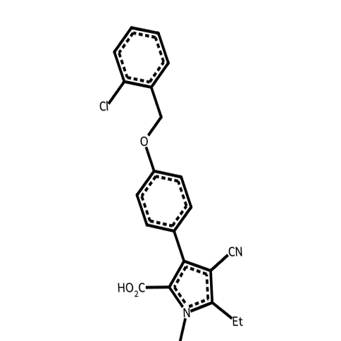 CCc1c(C#N)c(-c2ccc(OCc3ccccc3Cl)cc2)c(C(=O)O)n1C